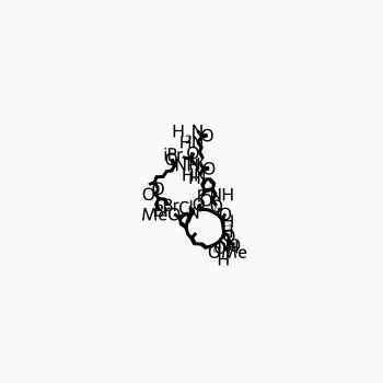 COc1cc2cc(c1Cl)N(C)C(=O)C[C@H](OC(=O)Nc1ccc(NC(=O)[C@H](CCCNC(N)=O)NC(=O)[C@@H](NC(=O)CCCCC(C)OC(=O)C(CBr)CBr)C(C)C)cc1F)[C@]1(C)O[C@H]1[C@H](C)[C@@H]1C[C@@](O)(NC(=O)O1)[C@H](OC)/C=C/C=C(\C)C2